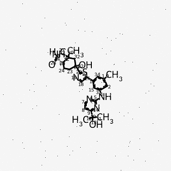 Cc1cc(Nc2nccc(C(C)(C)O)n2)cc(-c2cnc([C@@]3(O)CC[C@H](C(N)=O)C(C)(C)C3)s2)c1